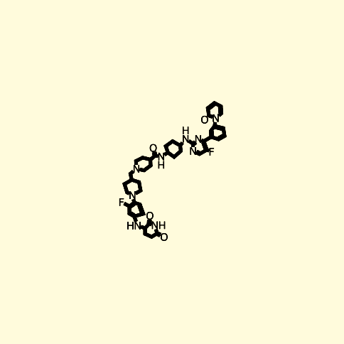 O=C1CCC(Nc2ccc(N3CCC(CN4CCC(C(=O)NC5CCC(Nc6ncc(F)c(-c7cccc(-n8ccccc8=O)c7)n6)CC5)CC4)CC3)c(F)c2)C(=O)N1